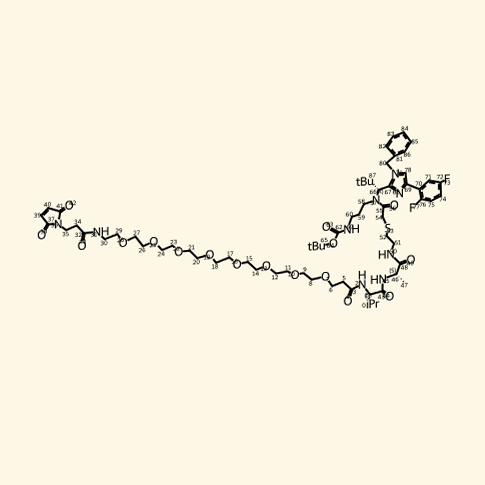 CC(C)[C@H](NC(=O)CCOCCOCCOCCOCCOCCOCCOCCOCCNC(=O)CCN1C(=O)C=CC1=O)C(=O)N[C@@H](C)C(=O)NCCSCC(=O)N(CCCNC(=O)OC(C)(C)C)[C@@H](c1nc(-c2cc(F)ccc2F)cn1Cc1ccccc1)C(C)(C)C